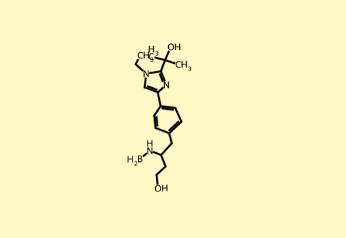 BNC(CCO)Cc1ccc(-c2cn(CC)c(C(C)(C)O)n2)cc1